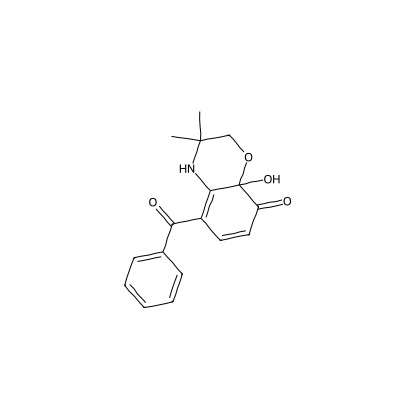 CC1(C)COC2(O)C(=O)C=CC(C(=O)c3ccccc3)=C2N1